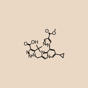 COC(=O)c1cnn(-c2cc(C3CC3)cn3cc(Cn4nnc(C(=O)O)c4C(C)(C)C)nc23)c1